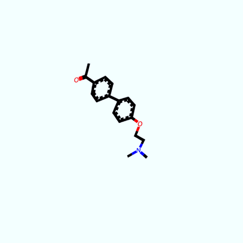 CC(=O)c1ccc(-c2ccc(OCCN(C)C)cc2)cc1